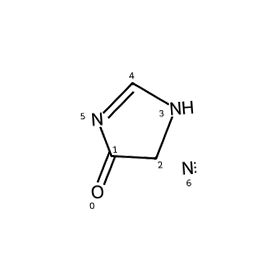 O=C1CNC=N1.[N]